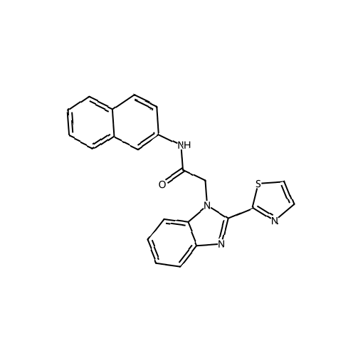 O=C(Cn1c(-c2nccs2)nc2ccccc21)Nc1ccc2ccccc2c1